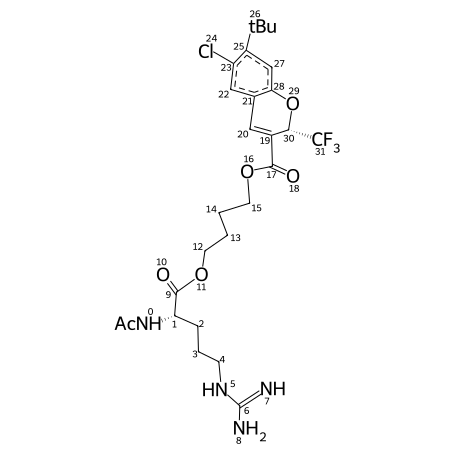 CC(=O)N[C@@H](CCCNC(=N)N)C(=O)OCCCCOC(=O)C1=Cc2cc(Cl)c(C(C)(C)C)cc2O[C@@H]1C(F)(F)F